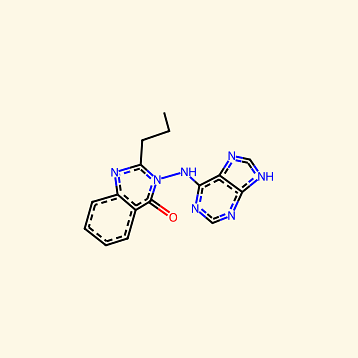 CCCc1nc2ccccc2c(=O)n1Nc1ncnc2[nH]cnc12